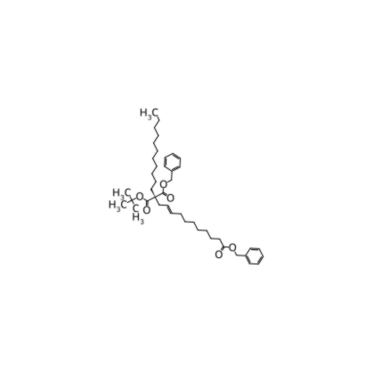 CCCCCCCCCCC[C@](CC=CCCCCCCCC(=O)OCc1ccccc1)(C(=O)OCc1ccccc1)C(=O)OC(C)(C)C